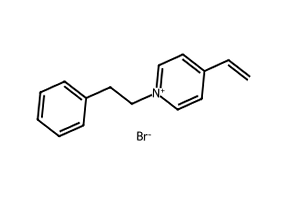 C=Cc1cc[n+](CCc2ccccc2)cc1.[Br-]